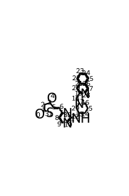 O=C1CC(=O)/C(=C/c2ccnc(N[C@H]3CCCN(Cc4cc5ccccc5cn4)C3)n2)S1